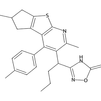 CCCC(c1noc(=O)[nH]1)c1c(C)nc2sc3c(c2c1-c1ccc(C)cc1)CC(C)C3